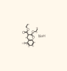 CCOC(=O)C(Cc1ccccc1I)C(=O)OCC.[NaH]